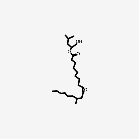 CCCCCCC(C)CC1OC1CCCCCCCC(=O)OC(CO)CC(C)C